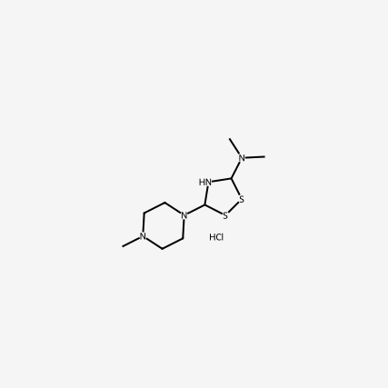 CN1CCN(C2NC(N(C)C)SS2)CC1.Cl